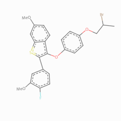 COc1ccc2c(Oc3ccc(OCC(C)Br)cc3)c(-c3ccc(F)c(OC)c3)sc2c1